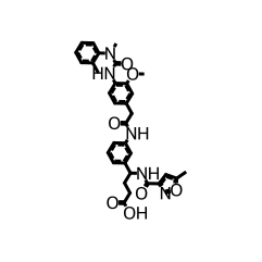 COc1cc(CC(=O)Nc2cccc(C(CCC(=O)O)NC(=O)c3cc(C)on3)c2)ccc1NC(=O)N(C)c1ccccc1C